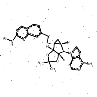 CC(C)Nc1ccc2ccc(CC[C@]34C[C@@H]3[C@@H](n3ccc5c(N)ncnc53)[C@@H]3OC(C)(C)O[C@@H]34)cc2n1